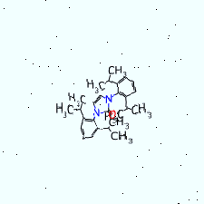 CC(C)c1cccc(C(C)C)c1-n1ccn(-c2c(C(C)C)cccc2C(C)C)c1=O